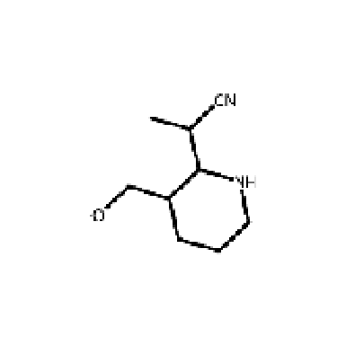 CC(C#N)C1NCCCC1C[O]